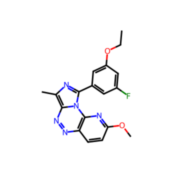 CCOc1cc(F)cc(-c2nc(C)c3nnc4ccc(OC)nc4n23)c1